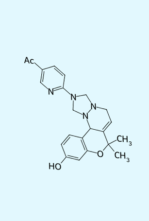 CC(=O)c1ccc(N2CN3CC=C4C(c5ccc(O)cc5OC4(C)C)N3C2)nc1